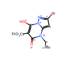 CCOC(=O)c1c(O)n2nc(Br)cc2n(CC(C)(C)C)c1=O